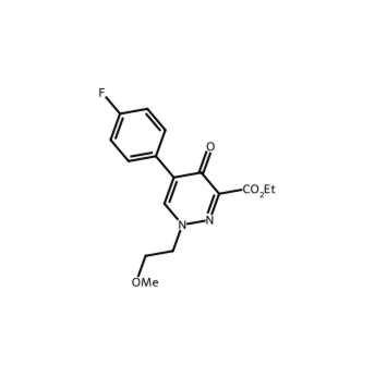 CCOC(=O)c1nn(CCOC)cc(-c2ccc(F)cc2)c1=O